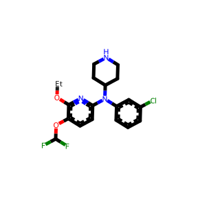 CCOc1nc(N(c2cccc(Cl)c2)C2CCNCC2)ccc1OC(F)F